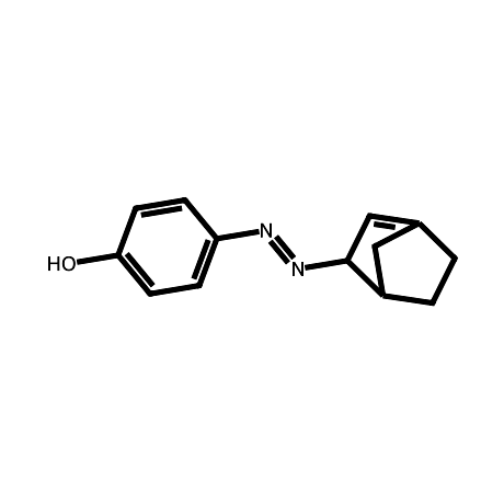 Oc1ccc(N=NC2C=C3CCC2C3)cc1